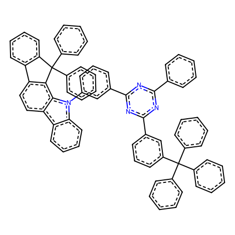 c1ccc(-c2nc(-c3cccc(-n4c5ccccc5c5ccc6c(c54)C(c4ccccc4)(c4ccccc4)c4ccccc4-6)c3)nc(-c3cccc(C(c4ccccc4)(c4ccccc4)c4ccccc4)c3)n2)cc1